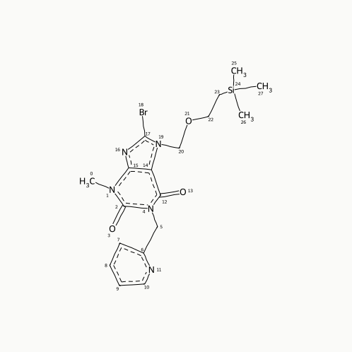 Cn1c(=O)n(Cc2ccccn2)c(=O)c2c1nc(Br)n2COCC[Si](C)(C)C